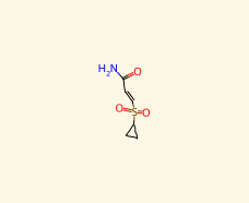 NC(=O)C=CS(=O)(=O)C1CC1